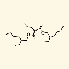 CCCCC(CC)COC(=O)C(CCC)C(=O)OCC(CC)CCCC